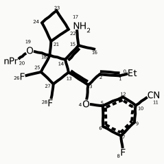 CC/C=C/C(Oc1cc(F)cc(C#N)c1)=C1\C(=C(/C)N)C(OCCC)(C2CCC2)C(F)C1F